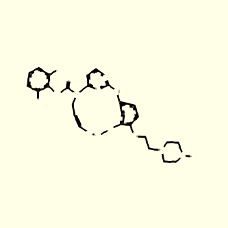 Cc1cccc(C)c1OC(=O)N1C/C=C\COCc2cc(ccc2OCCN2CCN(O)CC2)Nc2nccc1n2